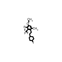 CCOc1cc(C)c(CCC2CCC(I)CC2)c(C(F)(F)F)c1F